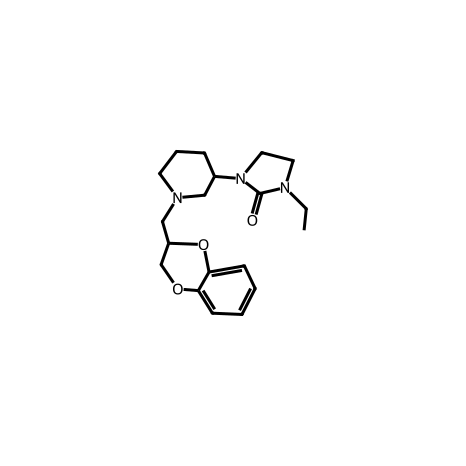 CCN1CCN(C2CCCN(CC3COc4ccccc4O3)C2)C1=O